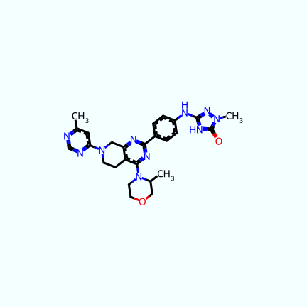 Cc1cc(N2CCc3c(nc(-c4ccc(Nc5nn(C)c(=O)[nH]5)cc4)nc3N3CCOCC3C)C2)ncn1